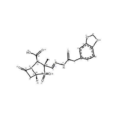 C[C@]1(/C=N/NC(=O)Cc2ccc3c(c2)OCO3)[C@H](C(=O)O)N2C(=O)C[C@H]2S1(=O)=O